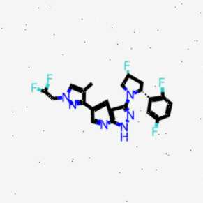 Cc1cn(CC(F)F)nc1-c1cnc2[nH]nc(N3C[C@@H](F)C[C@@H]3c3cc(F)ccc3F)c2c1